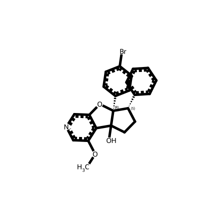 COc1cncc2c1C1(O)CC[C@@H](c3ccccc3)[C@]1(c1ccc(Br)cc1)O2